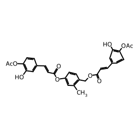 CC(=O)Oc1ccc(/C=C/C(=O)OCc2ccc(OC(=O)/C=C/c3ccc(OC(C)=O)c(O)c3)cc2C)cc1O